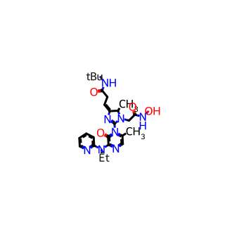 CCN(c1ccccn1)c1ncc(C)n(C2=NC(=CCC(=O)NC(C)(C)C)C(C)N2CC(=O)NO)c1=O